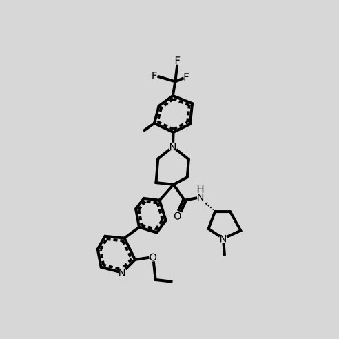 CCOc1ncccc1-c1ccc(C2(C(=O)N[C@@H]3CCN(C)C3)CCN(c3ccc(C(F)(F)F)cc3C)CC2)cc1